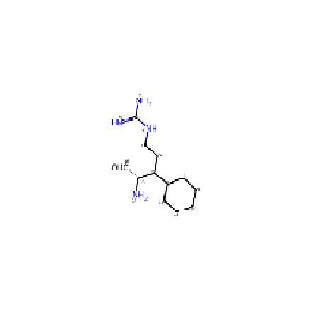 N=C(N)NCCC(C1CCCCC1)[C@H](N)[C]=O